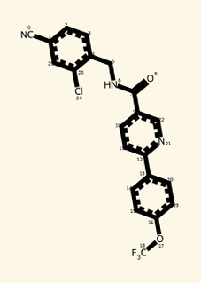 N#Cc1ccc(CNC(=O)c2ccc(-c3ccc(OC(F)(F)F)cc3)nc2)c(Cl)c1